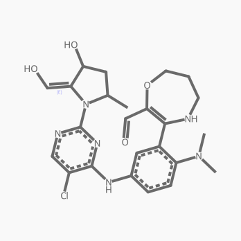 CC1CC(O)/C(=C\O)N1c1ncc(Cl)c(Nc2ccc(N(C)C)c(C3=C(C=O)OCCCN3)c2)n1